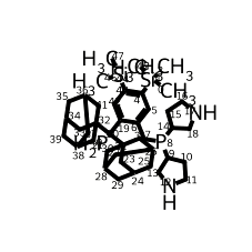 C[Si](C)(C)c1cc(CP(C2CCNC2)C2CCNC2)c(C(P)(C23CC4CC(CC(C4)C2)C3)C23CC4CC(CC(C4)C2)C3)cc1[Si](C)(C)C